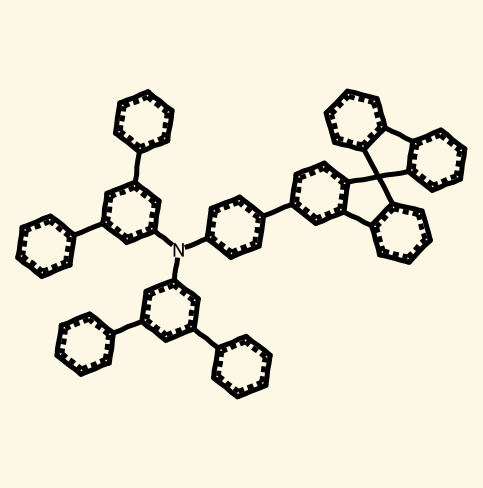 c1ccc(-c2cc(-c3ccccc3)cc(N(c3ccc(-c4ccc5c(c4)-c4ccccc4C54c5ccccc5-c5ccccc54)cc3)c3cc(-c4ccccc4)cc(-c4ccccc4)c3)c2)cc1